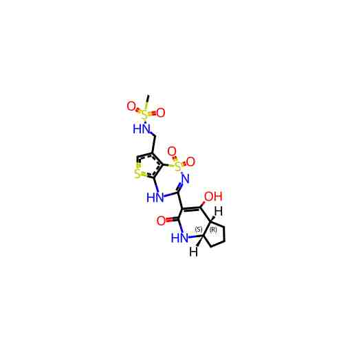 CS(=O)(=O)NCc1csc2c1S(=O)(=O)N=C(C1=C(O)[C@@H]3CCC[C@@H]3NC1=O)N2